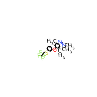 CCN(C)/C=N\c1cc(C)c(Oc2cccc(SCC(F)(F)C(F)F)c2)cc1C